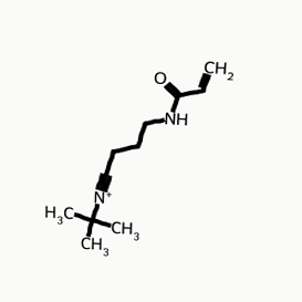 C=CC(=O)NCCCC#[N+]C(C)(C)C